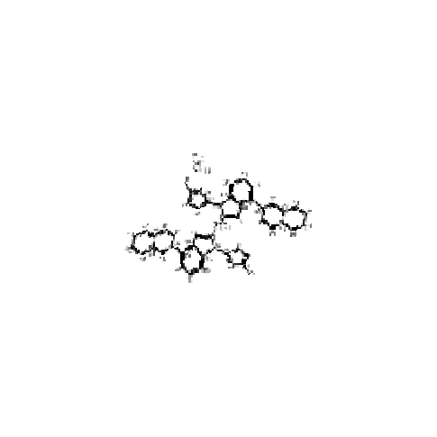 Cc1ccc(C2[C]([Zr+2][C]3=Cc4c(-c5ccc6ccccc6c5)cccc4C3c3ccc(C)o3)=Cc3c(-c4ccc5ccccc5c4)cccc32)o1.[Cl-].[Cl-]